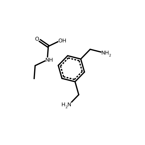 CCNC(=O)O.NCc1cccc(CN)c1